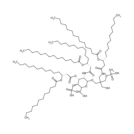 CCCCCCCCCCCCCC(=O)O[C@H](CCCCCCCCCCC)CC(=O)NCC(CO)(COC1OC(CO)[C@@H](OP(=O)(O)O)[C@H](OC(=O)C[C@@H](CCCCCCCCCCC)OC(=O)CCCCCCCCCCC)[C@@H]1NC(=O)C[C@@H](CCCCCCCCCCC)OC(=O)CCCCCCCCCCCCC)COP(C)(=O)O